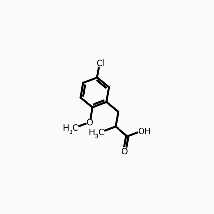 COc1ccc(Cl)cc1CC(C)C(=O)O